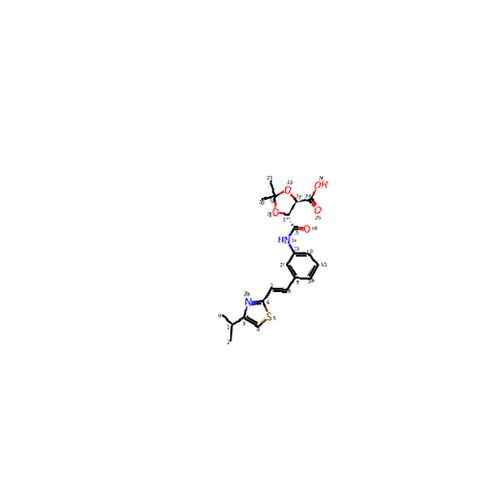 CC(C)c1csc(C=Cc2cccc(NC(=O)[C@@H]3OC(C)(C)O[C@H]3C(=O)O)c2)n1